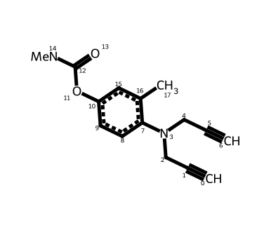 C#CCN(CC#C)c1ccc(OC(=O)NC)cc1C